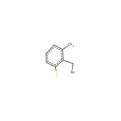 CC(=O)Cc1c(F)cccc1C(F)(F)F